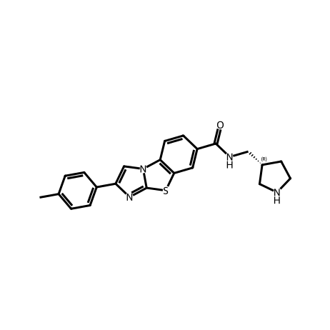 Cc1ccc(-c2cn3c(n2)sc2cc(C(=O)NC[C@@H]4CCNC4)ccc23)cc1